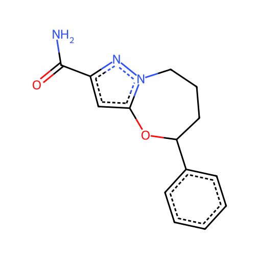 NC(=O)c1cc2n(n1)CCCC(c1ccccc1)O2